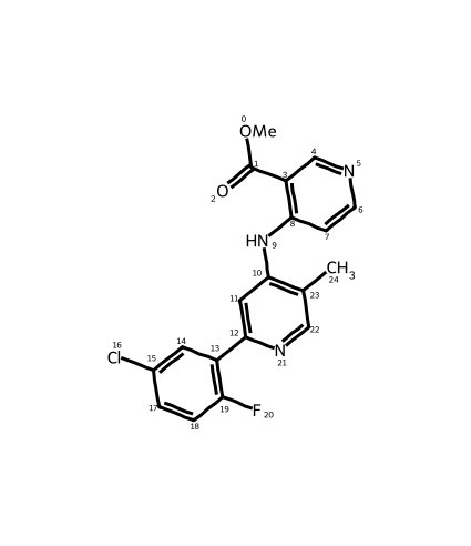 COC(=O)c1cnccc1Nc1cc(-c2cc(Cl)ccc2F)ncc1C